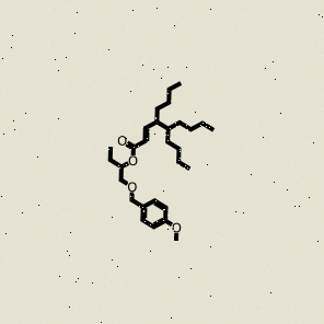 CCCCC(/C=C/C(=O)OC(CC)COCc1ccc(OC)cc1)C(CCCC)CCCC